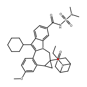 CCN1CC2CC(C1)N2C(=O)C12CC1c1cc(OC)ccc1-c1c(C3CCCCC3)c3ccc(C(=O)NS(=O)(=O)N(C)C)cc3n1C2